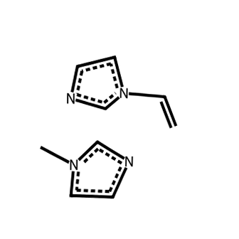 C=Cn1ccnc1.Cn1ccnc1